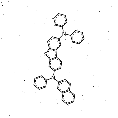 c1ccc(N(c2ccc3ccccc3c2)c2ccc3c(c2)sc2ccc(N(c4ccccc4)c4ccccc4)cc23)cc1